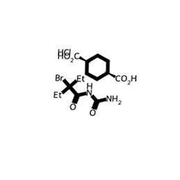 CCC(Br)(CC)C(=O)NC(N)=O.Cl.O=C(O)[C@H]1CC[C@@H](C(=O)O)CC1